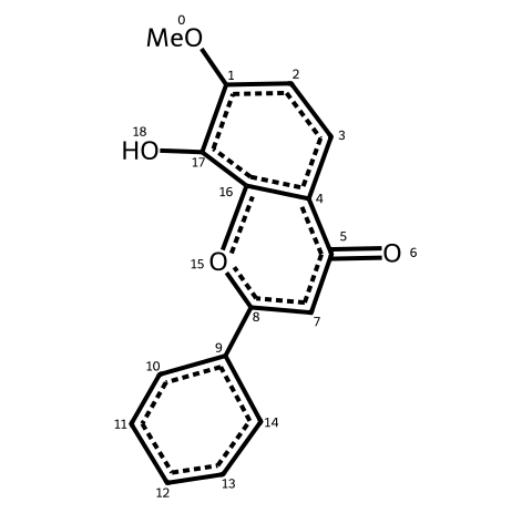 COc1ccc2c(=O)cc(-c3ccccc3)oc2c1O